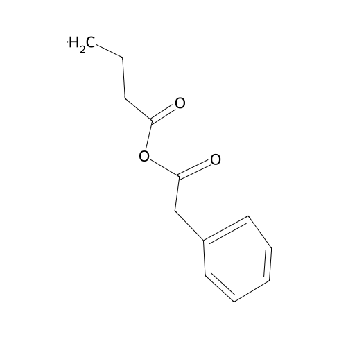 [CH2]CCC(=O)OC(=O)Cc1ccccc1